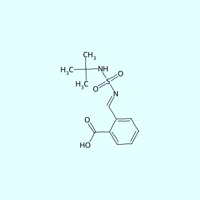 CC(C)(C)NS(=O)(=O)/N=C/c1ccccc1C(=O)O